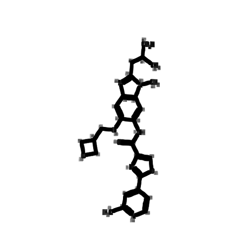 Cc1cc(-c2nc(C(=O)Nc3cc4c(cc3OCC3COC3)nc(CC(C)C(=O)O)n4C)co2)ccn1